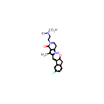 CCN(CCN1CCc2[nH]c(/C=C3\C(=O)Cc4ccc(F)cc43)c(C)c2C1=O)C(=O)O